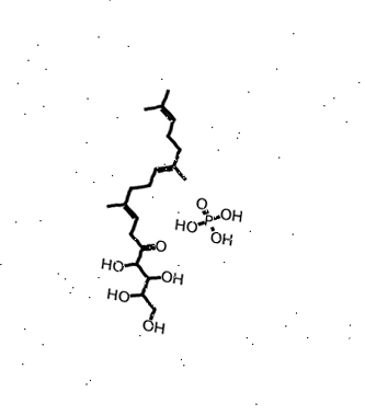 CC(C)=CCCC(C)=CCCC(C)=CCC(=O)C(O)C(O)C(O)CO.O=P(O)(O)O